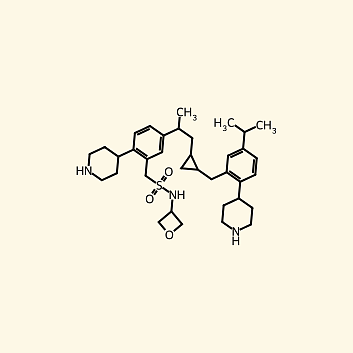 CC(C)c1ccc(C2CCNCC2)c(CC2CC2CC(C)c2ccc(C3CCNCC3)c(CS(=O)(=O)NC3COC3)c2)c1